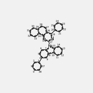 c1ccc(-c2ccc3c(c2)c2ccccc2n3-c2nc(-c3ccccc3)c3ccc4ccccc4c3n2)cc1